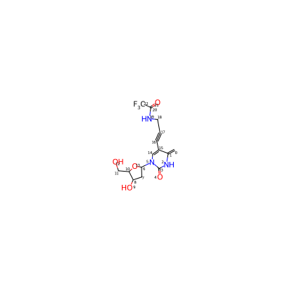 C=C1NC(=O)N(C2CC(O)C(CO)O2)C=C1C#CCNC(=O)C(F)(F)F